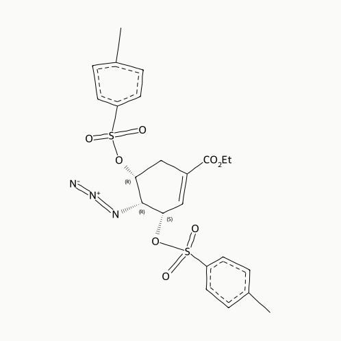 CCOC(=O)C1=C[C@H](OS(=O)(=O)c2ccc(C)cc2)[C@H](N=[N+]=[N-])[C@H](OS(=O)(=O)c2ccc(C)cc2)C1